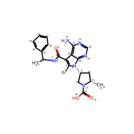 CC(NC(=O)c1c(Br)n([C@@H]2C[C@H](C)N(C(=O)O)C2)c2ncnc(N)c12)c1ccccc1